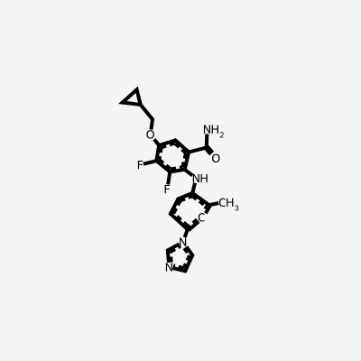 Cc1cc(-n2ccnc2)ccc1Nc1c(C(N)=O)cc(OCC2CC2)c(F)c1F